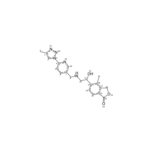 Cc1cn(-c2ccc(CNCC(O)c3ccc4c(c3C)COC4=O)cn2)nn1